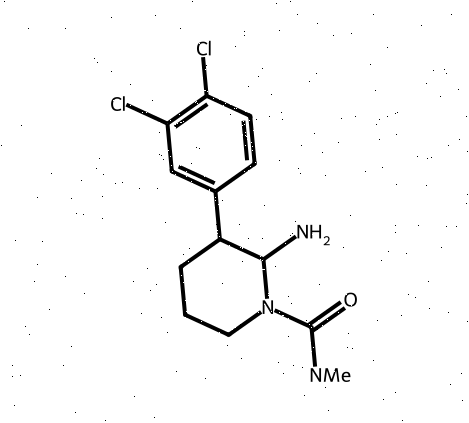 CNC(=O)N1CCCC(c2ccc(Cl)c(Cl)c2)C1N